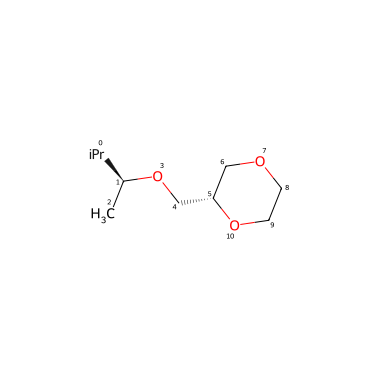 CC(C)[C@H](C)OC[C@@H]1COCCO1